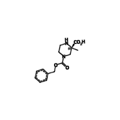 C[C@]1(C(=O)O)CN(C(=O)OCc2ccccc2)CCN1